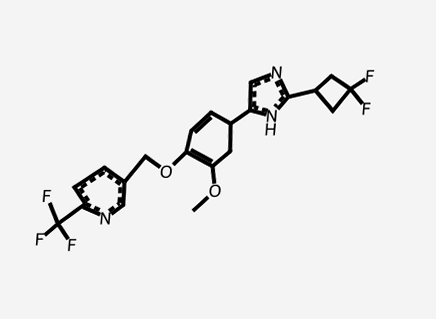 COC1=C(OCc2ccc(C(F)(F)F)nc2)C=CC(c2cnc(C3CC(F)(F)C3)[nH]2)C1